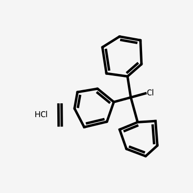 C=C.Cl.ClC(c1ccccc1)(c1ccccc1)c1ccccc1